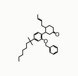 CC=CCC1CCC(=O)CC1c1ccc(C(C)(C)CCCCCC)cc1OCc1ccccc1